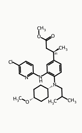 COC(=O)C[C@@H](C)c1ccc(N(CC(C)C)[C@H]2CC[C@@H](OC)CC2)c(Nc2ccc(Cl)cn2)c1